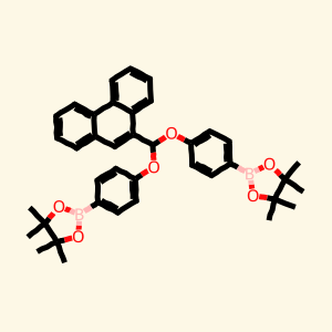 CC1(C)OB(c2ccc(OC(Oc3ccc(B4OC(C)(C)C(C)(C)O4)cc3)c3cc4ccccc4c4ccccc34)cc2)OC1(C)C